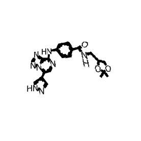 CC1(C)OCC(CNC(=O)c2ccc(Nc3ncc(-c4cn[nH]c4)n4ncnc34)cc2)O1